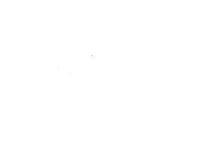 C/C=C1\CC(CCC)CN1CCNC(C)CCCCCCC